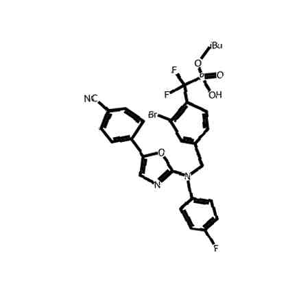 CCC(C)OP(=O)(O)C(F)(F)c1ccc(CN(c2ccc(F)cc2)c2ncc(-c3ccc(C#N)cc3)o2)cc1Br